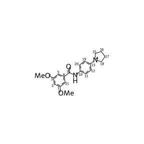 COc1cc(OC)cc(C(=O)Nc2ccc(N3CCCC3)cc2)c1